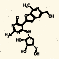 Cc1nc(CO)cc2cc(-c3c(Cl)nc(N)nc3N[C@@H]3C[C@H](CO)[C@@H](O)[C@H]3O)oc12